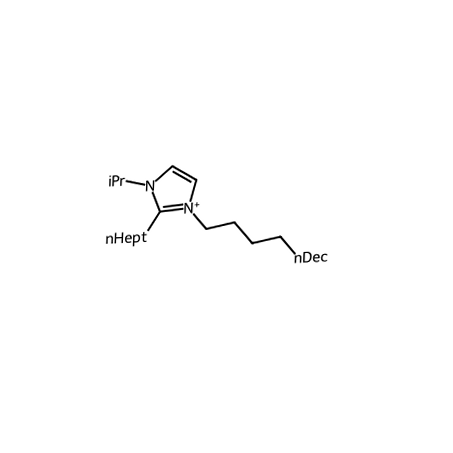 CCCCCCCCCCCCCC[n+]1ccn(C(C)C)c1CCCCCCC